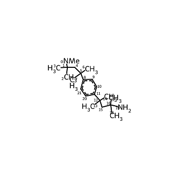 CNC(C)(C)CC(C)(C)c1ccc(C(C)(C)CC(C)(C)N)cc1